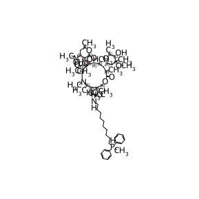 CC[C@H]1OC(=O)[C@H](C)C([C@H]2C[C@@](C)(OC)[C@@H](O)[C@H](C)O2)[C@H](C)[C@@H](O[C@@H]2O[C@H](C)C[C@H](N(C)C)[C@H]2OC(C)=O)[C@](C)(O)C[C@@H](C)CN(C)[C@H](C)[C@@H](OC(=O)NCCCCCCCCCC[PH](C)(c2ccccc2)c2ccccc2)[C@]1(C)O